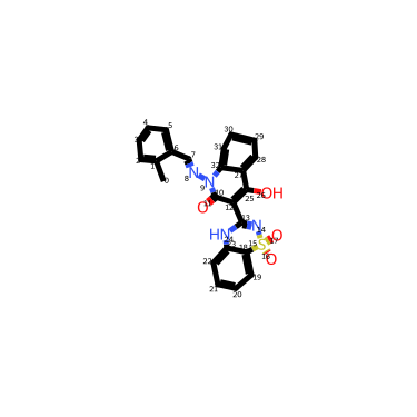 Cc1ccccc1C=Nn1c(=O)c(C2=NS(=O)(=O)c3ccccc3N2)c(O)c2ccccc21